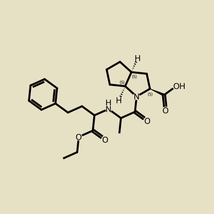 CCOC(=O)C(CCc1ccccc1)NC(C)C(=O)N1[C@H](C(=O)O)C[C@@H]2CCC[C@@H]21